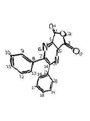 O=C1OC(=O)c2nc(-c3ccccc3)c(-c3ccccc3)nc21